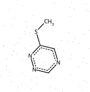 CSc1cncnn1